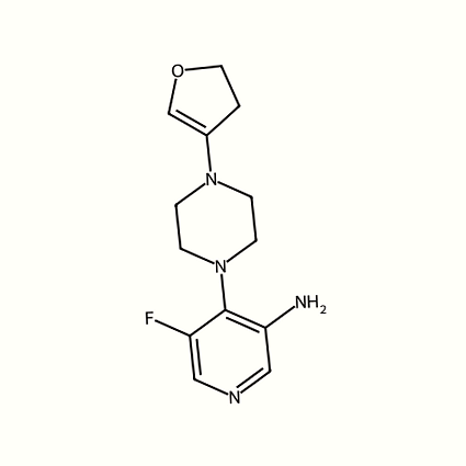 Nc1cncc(F)c1N1CCN(C2=COCC2)CC1